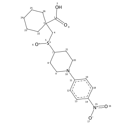 O=C(O)C1(C[S+]([O-])C2CCN(c3ccc([N+](=O)[O-])cc3)CC2)CCCCC1